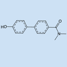 CN(C)C(=O)c1ccc(-c2ccc(O)cc2)cc1